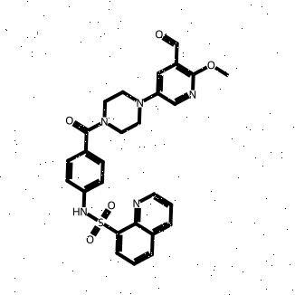 COc1ncc(N2CCN(C(=O)c3ccc(NS(=O)(=O)c4cccc5cccnc45)cc3)CC2)cc1C=O